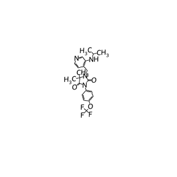 CC(C)Nc1cnccc1CN1C(=O)N(c2ccc(OC(F)(F)F)cc2)C(=O)C1(C)C